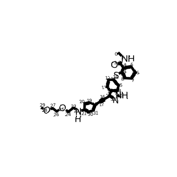 CNC(=O)c1ccccc1Sc1ccc2c(C#Cc3ccc(NCCOCCOC)cc3)n[nH]c2c1